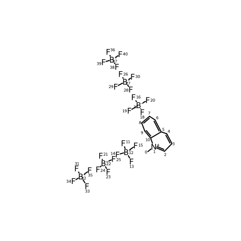 C[n+]1cccc2ccccc21.F[B-](F)(F)F.F[B-](F)(F)F.F[B-](F)(F)F.F[B-](F)(F)F.F[B-](F)(F)F.F[B-](F)(F)F